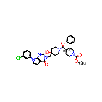 CC(C)(C)OC(=O)N1CC[C@@H](C(=O)N2CCC(O)(Cn3cnc4c(ccn4-c4cccc(Cl)c4)c3=O)CC2)[C@H](c2ccccc2)C1